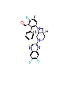 Cc1cc(N2C[C@H]3CCN(c4cnc5cc(F)c(F)cc5n4)C[C@H]32)c(-c2ccccc2)c(C=O)c1F